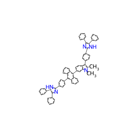 Cc1c(-c2ccc(-c3nc(-c4ccccc4)c(-c4ccccc4)[nH]3)cc2)c2ccc(-c3c4ccccc4c(-c4ccc(-c5nc(-c6ccccc6)c(-c6ccccc6)[nH]5)cc4)c4ccccc34)cc2n1C